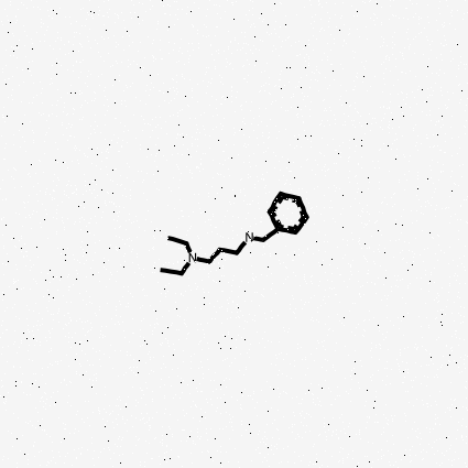 CCN(CC)CCC[N]Cc1ccccc1